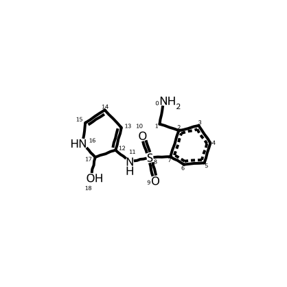 NCc1ccccc1S(=O)(=O)NC1=CC=CNC1O